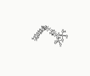 O.O.O.O.O.O.O.O.O.O.O.O.O=S(=O)(O)OS(=O)(=O)O